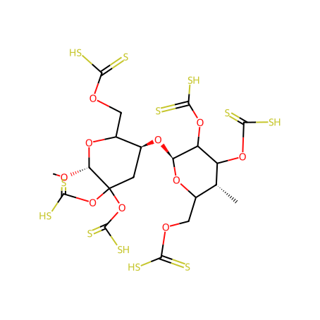 CO[C@@H]1OC(COC(=S)S)[C@@H](O[C@@H]2OC(COC(=S)S)[C@@H](C)C(OC(=S)S)C2OC(=S)S)CC1(OC(=S)S)OC(=S)S